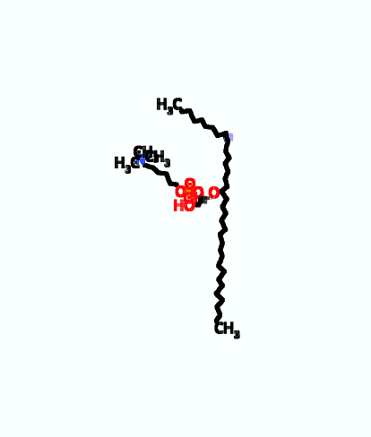 CCCCCCCC/C=C\CCCCCCC(CCCCCCCCCCCCCCCCCCC)OC[C@H](CO)OP(=O)(O)OCCCCCC[N+](C)(C)C